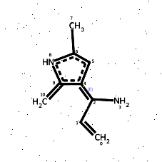 C=C/C(N)=c1/cc(C)[nH]c1=C